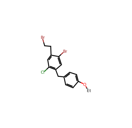 CCOc1ccc(Cc2cc(Br)c(CCBr)cc2Cl)cc1